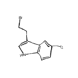 Clc1ccc2[nH]cc(CCBr)c2c1